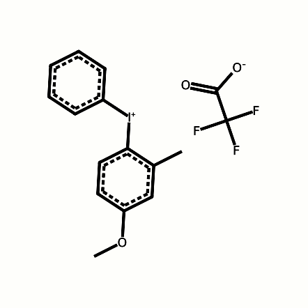 COc1ccc([I+]c2ccccc2)c(C)c1.O=C([O-])C(F)(F)F